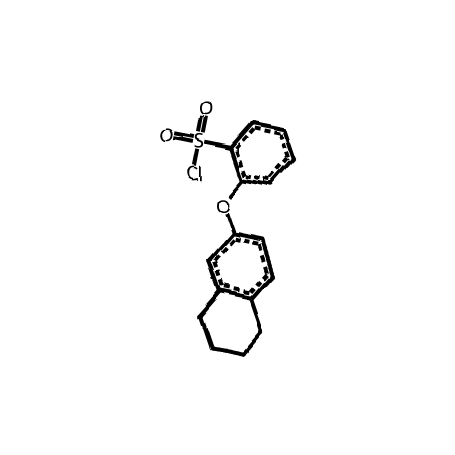 O=S(=O)(Cl)c1ccccc1Oc1ccc2c(c1)CCCC2